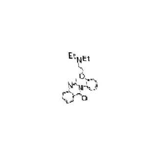 CCN(CC)CCOc1ccccc1-n1c(C)nc2ccccc2c1=O